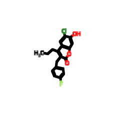 CCCc1c(Cc2ccc(F)cc2)c(=O)oc2cc(O)c(Cl)cc12